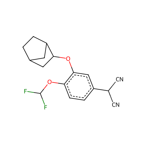 N#CC(C#N)c1ccc(OC(F)F)c(OC2CC3CCC2C3)c1